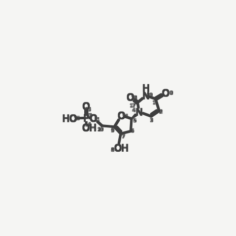 O=c1ccn([C@H]2CC(O)=C(COP(=O)(O)O)O2)c(=O)[nH]1